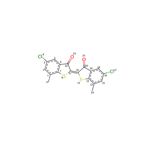 Cc1cc(Cl)cc2c1SC(=C1Sc3c(C)cc(Cl)cc3C1=O)C2=O